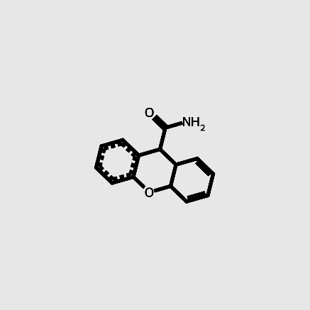 NC(=O)C1c2ccccc2OC2C=CC=CC21